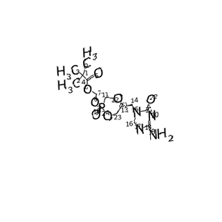 CC(C)(C)C(=O)OCOP1(=O)CO[C@@H](Cn2cnc(N)nc2=O)CO1